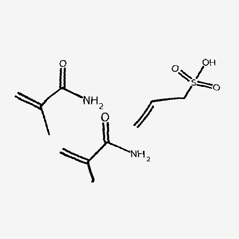 C=C(C)C(N)=O.C=C(C)C(N)=O.C=CCS(=O)(=O)O